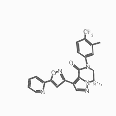 Cc1cc(N2C[C@H](C)n3ncc(-c4cc(-c5ccccn5)on4)c3C2=O)ccc1C(F)(F)F